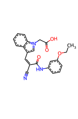 CCOc1cccc(NC(=O)C(C#N)=Cc2cn(CC(=O)O)c3ccccc23)c1